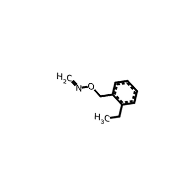 C=NOCc1ccccc1CC